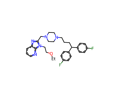 CCOCCn1c(CN2CCN(CCCC(c3ccc(F)cc3)c3ccc(F)cc3)CC2)nc2cccnc21